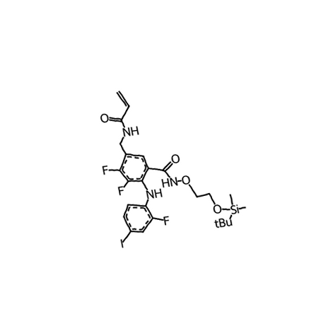 C=CC(=O)NCc1cc(C(=O)NOCCO[Si](C)(C)C(C)(C)C)c(Nc2ccc(I)cc2F)c(F)c1F